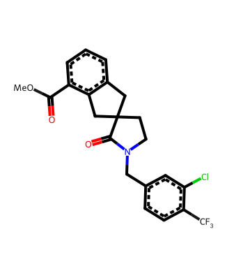 COC(=O)c1cccc2c1CC1(CCN(Cc3ccc(C(F)(F)F)c(Cl)c3)C1=O)C2